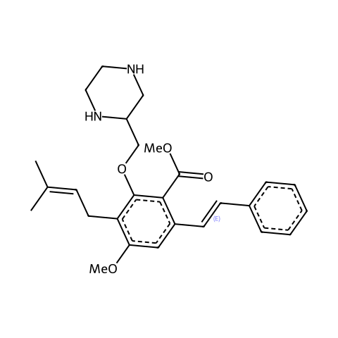 COC(=O)c1c(/C=C/c2ccccc2)cc(OC)c(CC=C(C)C)c1OCC1CNCCN1